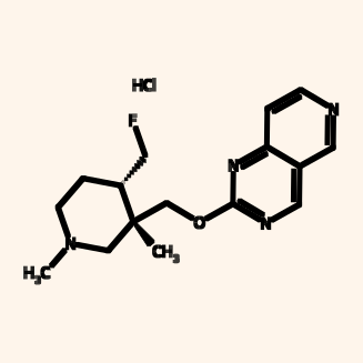 CN1CC[C@H](CF)[C@](C)(COc2ncc3cnccc3n2)C1.Cl